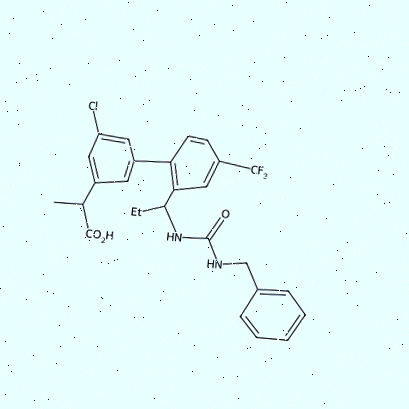 CCC(NC(=O)NCc1ccccc1)c1cc(C(F)(F)F)ccc1-c1cc(Cl)cc(C(C)C(=O)O)c1